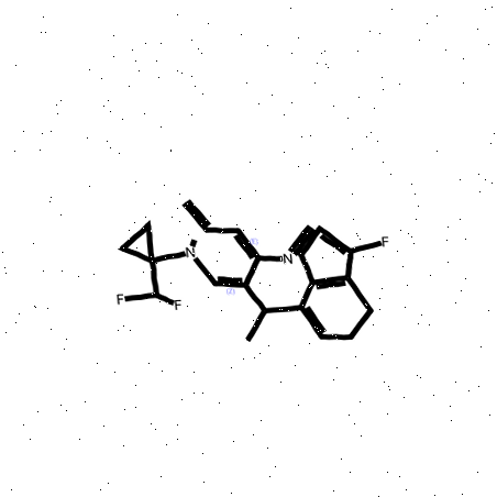 C=C/C=C(N=C)\C(=C/N(C)C1(C(F)F)CC1)C(C)C1=CCCC2=C1CC=C2F